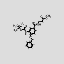 COC(=O)CCNC(=O)c1ccc(OCc2ccccc2)c(NC(=O)OC(C)(C)C)c1